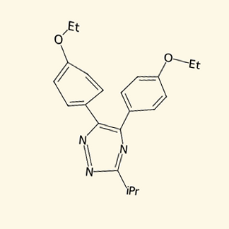 CCOc1ccc(-c2nnc(C(C)C)nc2-c2ccc(OCC)cc2)cc1